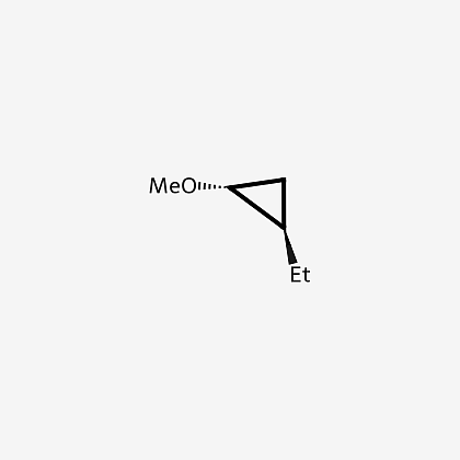 CC[C@@H]1C[C@H]1OC